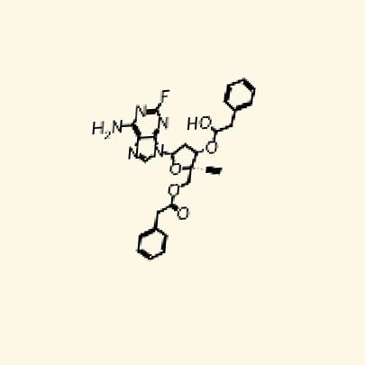 C#C[C@]1(COC(=O)Cc2ccccc2)O[C@@H](n2cnc3c(N)nc(F)nc32)C[C@@H]1OC(O)Cc1ccccc1